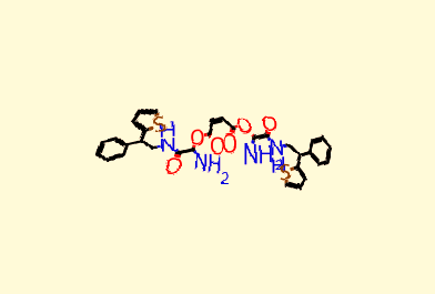 NC(OC(=O)/C=C\C(=O)OC(N)C(=O)NCC(c1ccccc1)c1cccs1)C(=O)NCC(c1ccccc1)c1cccs1